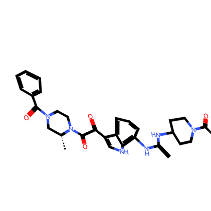 C=C(Nc1cccc2c(C(=O)C(=O)N3CCN(C(=O)c4ccccc4)C[C@H]3C)c[nH]c12)NC1CCN(C(=O)C(F)(F)F)CC1